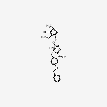 Cc1ncc(CO[PH](=O)N[C@@H](Cc2ccc(OCc3ccccc3)cc2)C(=O)OC(C)C)c(CN)c1O